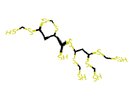 SCSC(CC(SCS)SC(S)C1CC(SCS)SCS1)SCS